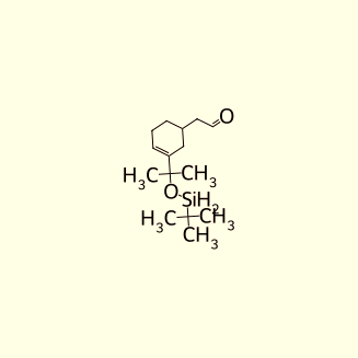 CC(C)(C)[SiH2]OC(C)(C)C1=CCCC(CC=O)C1